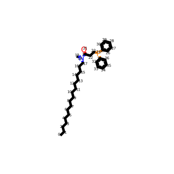 CCCCCCCCCCCCCCCCCCN(C)C(=O)CCP(c1ccccc1)c1ccccc1